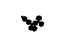 Cc1ccc(-c2ccc(N(c3ccc(N(c4ccccc4)c4ccccc4)cc3)c3cccc4ccccc34)cc2)cc1